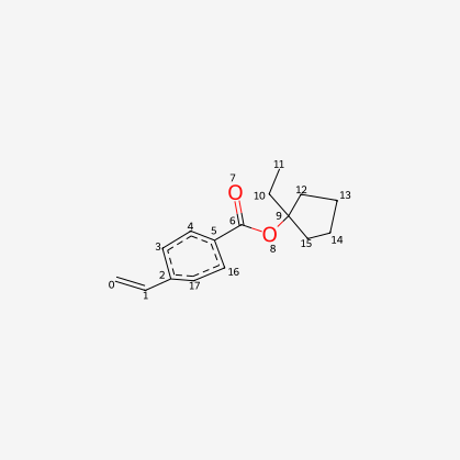 C=Cc1ccc(C(=O)OC2(CC)CCCC2)cc1